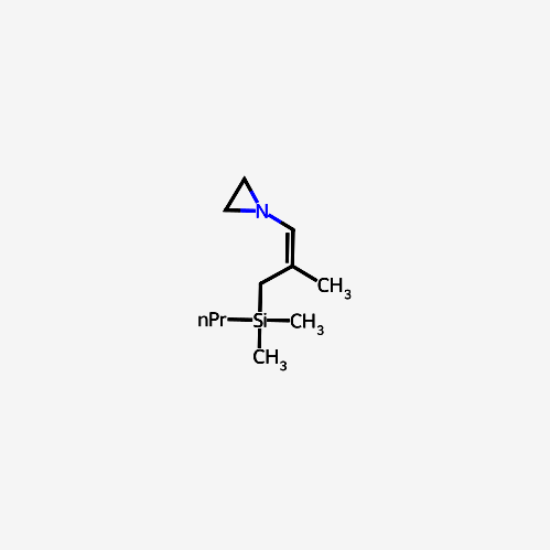 CCC[Si](C)(C)CC(C)=CN1CC1